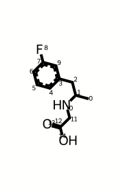 CC(Cc1cccc(F)c1)NCC(=O)O